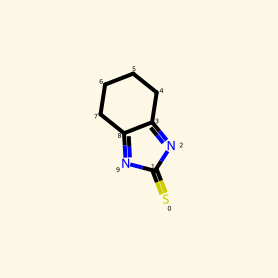 S=C1N=C2CCCCC2=N1